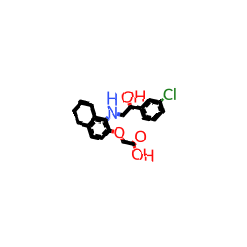 O=C(O)COc1ccc2c(c1NCC(O)c1cccc(Cl)c1)CCCC2